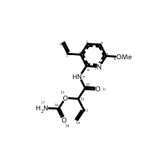 C=Cc1ccc(OC)nc1NC(=O)C(C=C)OC(N)=O